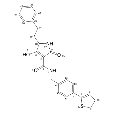 O=C(NCc1ccc(C2=CCCS2)cc1)C1=C(O)C(CCc2ccccc2)NC1=O